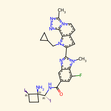 Cc1nnc2c3c(ccn12)cc(-c1nc2cc(C(=O)N[C@H](I)[C@]4(N)CC[C@H]4I)cc(F)c2n1C)n3CC1CC1